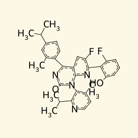 Cc1cc(C(C)C)ccc1-c1nc(=O)n(-c2c(C)ccnc2C(C)C)c2nc(-c3c(O)cccc3F)c(F)cc12